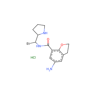 CCC(NC(=O)c1cc(N)cc2c1OCC2)C1CCCN1.Cl